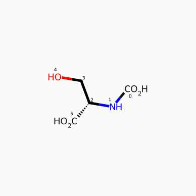 O=C(O)N[C@@H](CO)C(=O)O